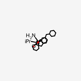 CC(C)N1C(=O)C2(N=C1N)c1cc(CC3CCCCC3)ccc1CC21CCCCC1